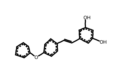 Oc1cc(O)cc(C=Cc2ccc(Oc3ccccc3)cc2)c1